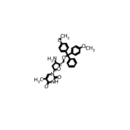 COc1ccc(C(OC[C@H]2O[C@@H](n3cc(C)c(=O)[nH]c3=O)CC2N)(c2ccccc2)c2ccc(OC)cc2)cc1